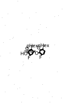 CCCCCCOc1c(F)ccc(F)c1O.CCCCCCOc1c(F)ccc(F)c1OCCCCCC